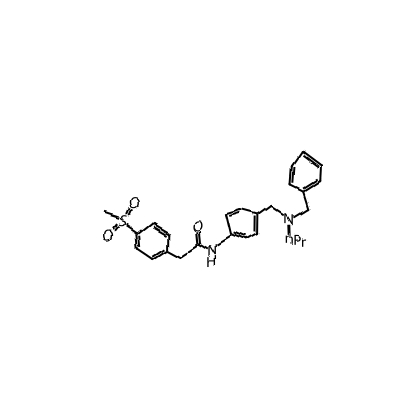 CCCN(Cc1ccccc1)Cc1ccc(NC(=O)Cc2ccc(S(C)(=O)=O)cc2)cc1